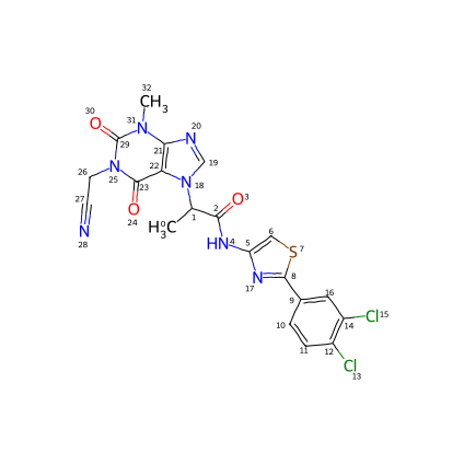 CC(C(=O)Nc1csc(-c2ccc(Cl)c(Cl)c2)n1)n1cnc2c1c(=O)n(CC#N)c(=O)n2C